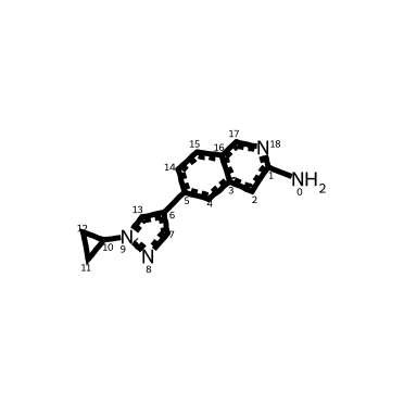 Nc1cc2cc(-c3cnn(C4CC4)c3)ccc2cn1